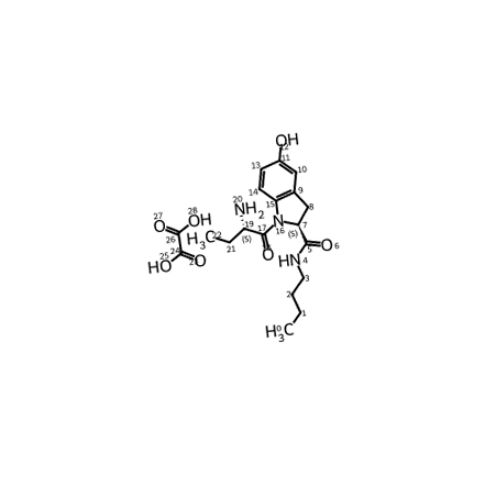 CCCCNC(=O)[C@@H]1Cc2cc(O)ccc2N1C(=O)[C@@H](N)CC.O=C(O)C(=O)O